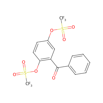 O=C(c1ccccc1)c1cc(OS(=O)(=O)C(F)(F)F)ccc1OS(=O)(=O)C(F)(F)F